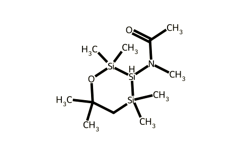 CC(=O)N(C)[SiH]1[Si](C)(C)CC(C)(C)O[Si]1(C)C